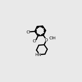 Cl.Clc1cccc(OC2CCNCC2)c1Cl